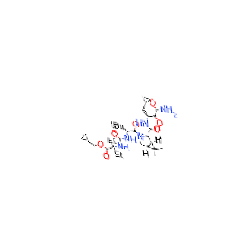 CCC(CC)(NC(=O)N[C@H](C(=O)N1C[C@H]2[C@@H]([C@H]1C(=O)N/C(=C/C1CC1)C(=O)C(N)=O)C2(C)C)C(C)(C)C)C(=O)OCC1CC1